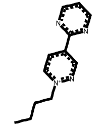 CCCC[n+]1ccc(-c2ncccn2)cn1